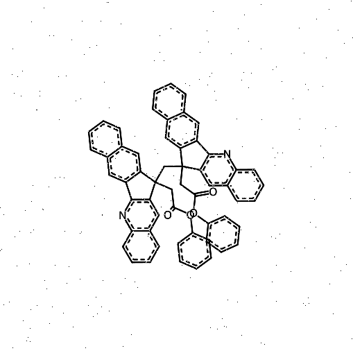 O=C(CC1(CC2(CC(=O)Oc3ccccc3)c3cc4ccccc4cc3-c3nc4ccccc4cc32)c2cc3ccccc3cc2-c2nc3ccccc3cc21)Oc1ccccc1